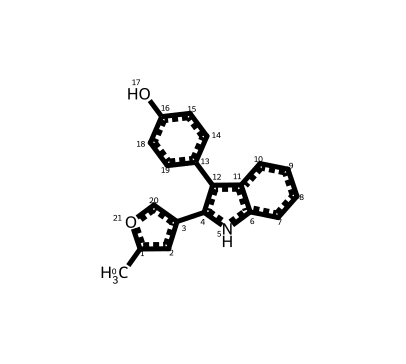 Cc1cc(-c2[nH]c3ccccc3c2-c2ccc(O)cc2)co1